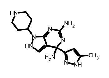 Cc1cc(C2(N)N=C(N)N=C3C2=CNN3C2CCNCC2)n[nH]1